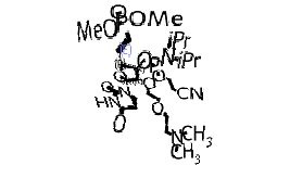 COP(=O)(/C=C/[C@H]1O[C@@H](n2ccc(=O)[nH]c2=O)[C@H](OCCOCCN(C)C)[C@@H]1OP(OCCC#N)N(C(C)C)C(C)C)OC